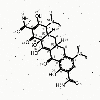 CN(C)c1cc(C(N)=O)c(O)c2c1C[C@H]1C[C@H]3[C@H](N(C)C)C(O)=C(C(N)=O)C(=O)[C@@]3(O)C(O)=C1C2=O